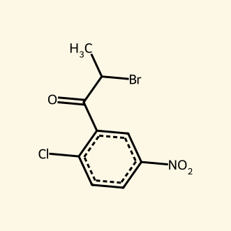 CC(Br)C(=O)c1cc([N+](=O)[O-])ccc1Cl